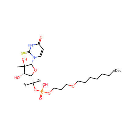 [2H]C([2H])(OP(=O)(O)OCCCOCCCCCCCCCCCCCCCC)[C@H]1O[C@@H](n2ccc(=O)[nH]c2=S)C(C)(O)[C@H]1O